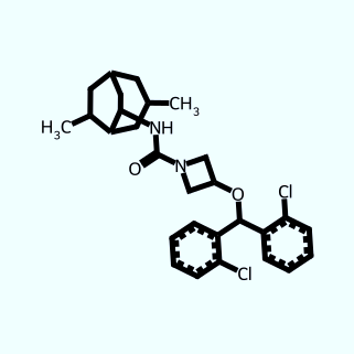 CC1CC2CC(C)C(C1)C(NC(=O)N1CC(OC(c3ccccc3Cl)c3ccccc3Cl)C1)C2